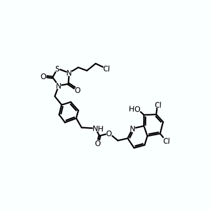 O=C(NCc1ccc(Cn2c(=O)sn(CCCCl)c2=O)cc1)OCc1ccc2c(Cl)cc(Cl)c(O)c2n1